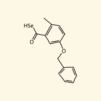 Cc1ccc(OCc2ccccc2)cc1C(=O)[SeH]